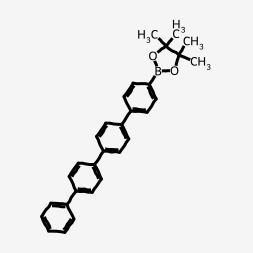 CC1(C)OB(c2ccc(-c3ccc(-c4ccc(-c5ccccc5)cc4)cc3)cc2)OC1(C)C